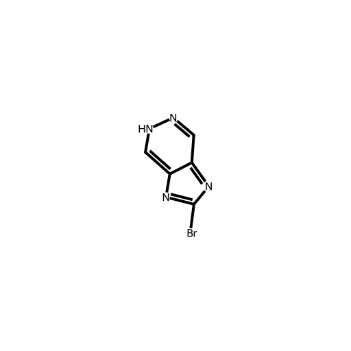 Brc1nc2cn[nH]cc-2n1